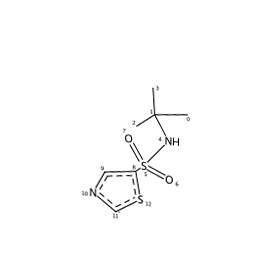 CC(C)(C)NS(=O)(=O)c1cn[c]s1